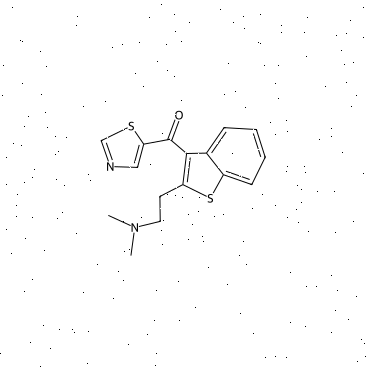 CN(C)CCc1sc2ccccc2c1C(=O)c1cncs1